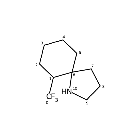 FC(F)(F)C1CCCCC12CCCN2